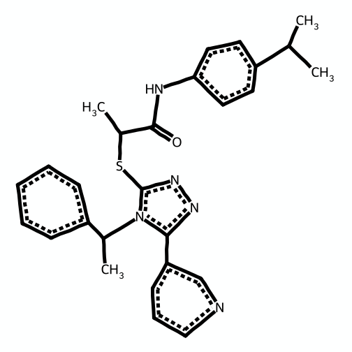 CC(Sc1nnc(-c2cccnc2)n1C(C)c1ccccc1)C(=O)Nc1ccc(C(C)C)cc1